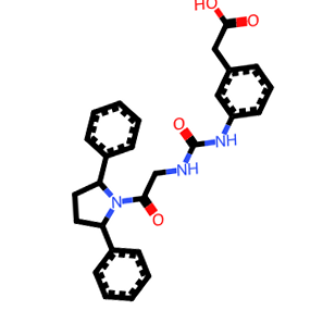 O=C(O)Cc1cccc(NC(=O)NCC(=O)N2C(c3ccccc3)CCC2c2ccccc2)c1